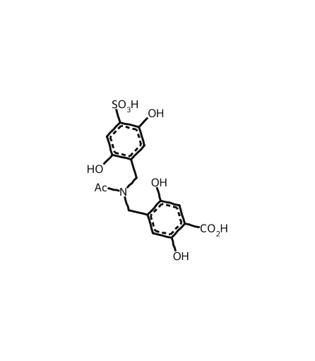 CC(=O)N(Cc1cc(O)c(C(=O)O)cc1O)Cc1cc(O)c(S(=O)(=O)O)cc1O